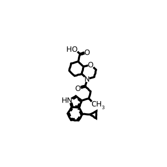 CC(CC(=O)N1CCOC2C(C(=O)O)CCCC21)c1c[nH]c2cccc(C3CC3)c12